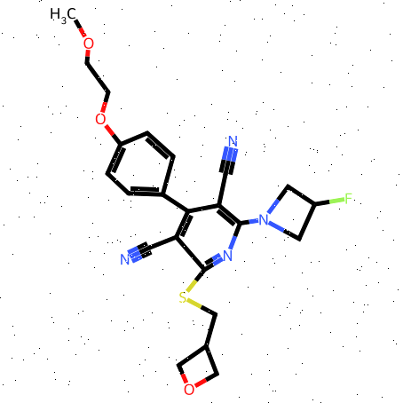 COCCOc1ccc(-c2c(C#N)c(SCC3COC3)nc(N3CC(F)C3)c2C#N)cc1